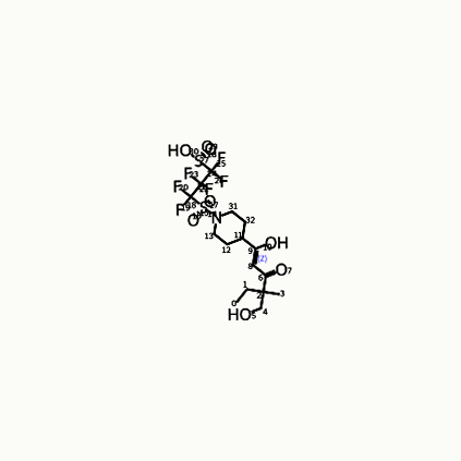 CCC(C)(CO)C(=O)/C=C(\O)C1CCN(S(=O)(=O)C(F)(F)C(F)(F)C(F)(F)S(=O)(=O)O)CC1